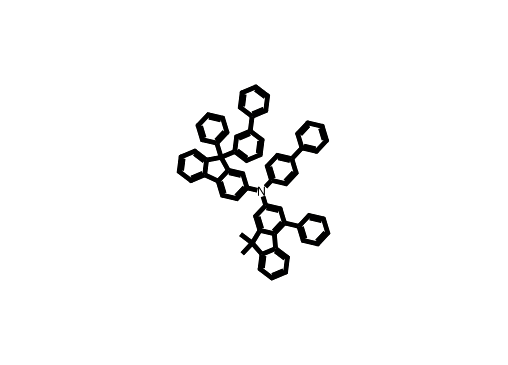 CC1(C)c2ccccc2-c2c(-c3ccccc3)cc(N(c3ccc(-c4ccccc4)cc3)c3ccc4c(c3)C(c3ccccc3)(c3cccc(-c5ccccc5)c3)c3ccccc3-4)cc21